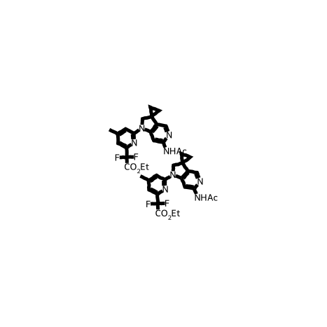 CCOC(=O)C(F)(F)c1cc(C)cc(N2CC3(CC3)c3cnc(NC(C)=O)cc32)n1.CCOC(=O)C(F)(F)c1cc(C)cc(N2CC3(CC3)c3cnc(NC(C)=O)cc32)n1